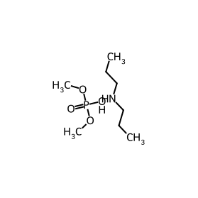 CCCNCCC.COP(=O)(O)OC